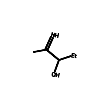 CCC(O)C(C)=N